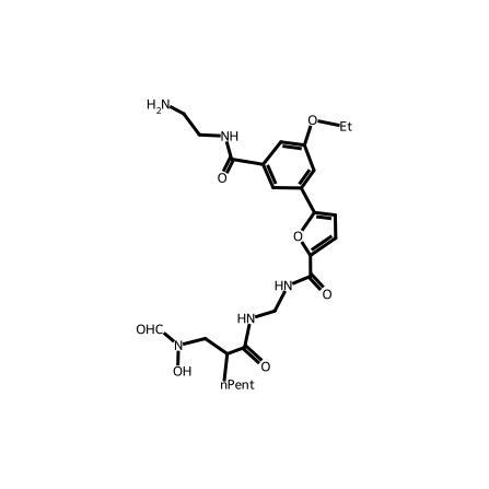 CCCCCC(CN(O)C=O)C(=O)NCNC(=O)c1ccc(-c2cc(OCC)cc(C(=O)NCCN)c2)o1